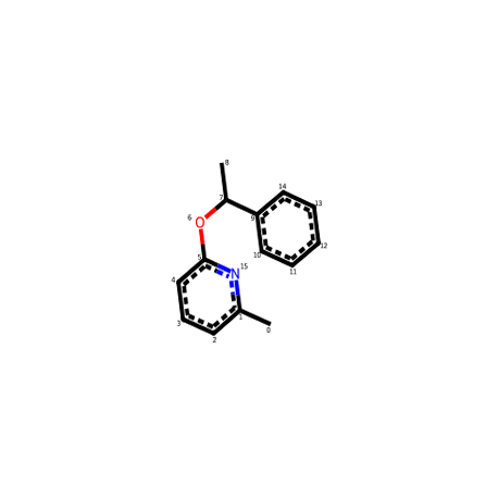 Cc1cccc(OC(C)c2ccccc2)n1